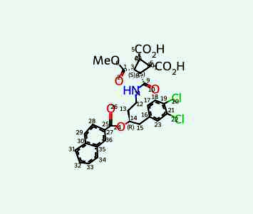 COC(=O)[C@@H]1[C@@H](C(=O)O)[C@H](C(=O)O)[C@@H]1C(=O)NCC[C@@H](Cc1ccc(Cl)c(Cl)c1)OC(=O)c1ccc2ccccc2c1